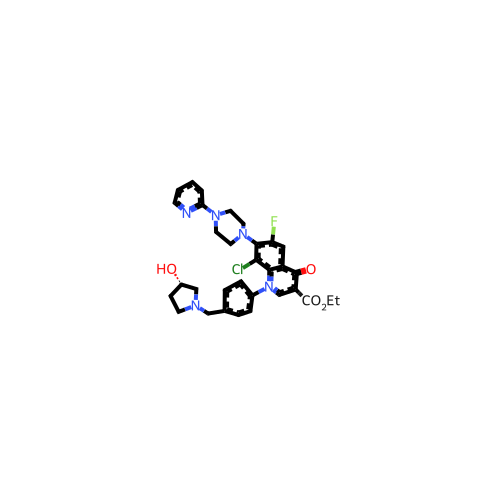 CCOC(=O)c1cn(-c2ccc(CN3CC[C@H](O)C3)cc2)c2c(Cl)c(N3CCN(c4ccccn4)CC3)c(F)cc2c1=O